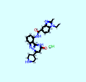 CCn1c(C)nc2cc(C(=O)Nc3cccc4nn5c(C6CCNCC6)cc(=O)[nH]c5c34)ccc21.Cl